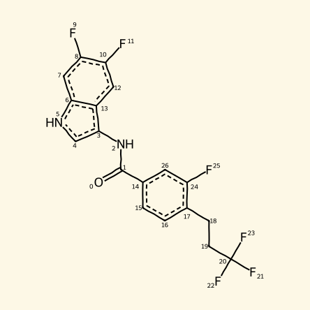 O=C(Nc1c[nH]c2cc(F)c(F)cc12)c1ccc(CCC(F)(F)F)c(F)c1